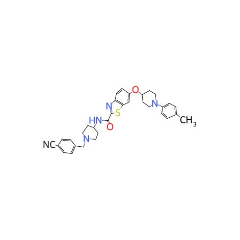 Cc1ccc(N2CCC(Oc3ccc4nc(C(=O)NC5CCN(Cc6ccc(C#N)cc6)CC5)sc4c3)CC2)cc1